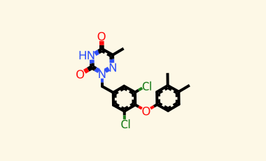 Cc1ccc(Oc2c(Cl)cc(Cn3nc(C)c(=O)[nH]c3=O)cc2Cl)cc1C